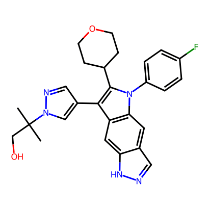 CC(C)(CO)n1cc(-c2c(C3CCOCC3)n(-c3ccc(F)cc3)c3cc4cn[nH]c4cc23)cn1